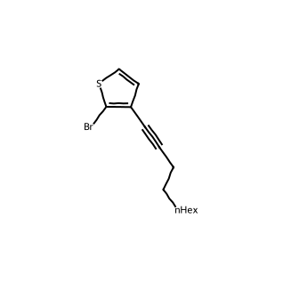 CCCCCCCCC#Cc1ccsc1Br